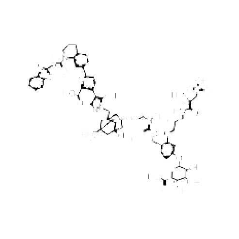 Cc1c(-c2ccc(-c3ccc4c(c3)N(C(=O)Nc3nc5ccccc5s3)CCC4)nc2C(=O)O)cnn1CC12CC3(C)CC(C)(C1)CC(OCCN(C)C(=O)OCc1ccc(O[C@@H]4O[C@H](C(=O)O)[C@@H](O)[C@H](O)[C@H]4O)cc1OCCCNC(=O)[C@@H](N)CS(=O)(=O)O)(C3)C2